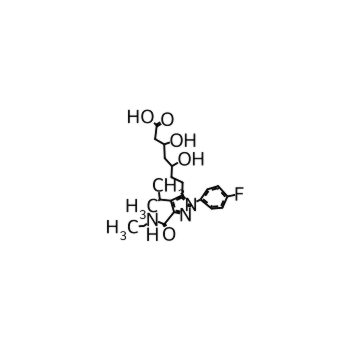 CCNC(=O)c1nn(-c2ccc(F)cc2)c(CCC(O)CC(O)CC(=O)O)c1C(C)C